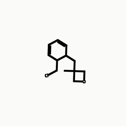 CC1(CC2C=CC=CC2CCl)COC1